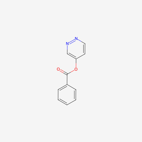 O=C(Oc1ccnnc1)c1ccccc1